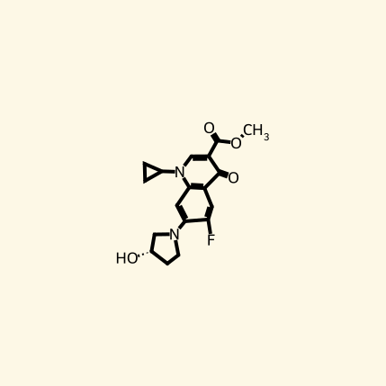 COC(=O)c1cn(C2CC2)c2cc(N3CC[C@H](O)C3)c(F)cc2c1=O